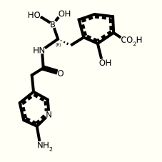 Nc1ccc(CC(=O)N[C@@H](Cc2cccc(C(=O)O)c2O)B(O)O)cn1